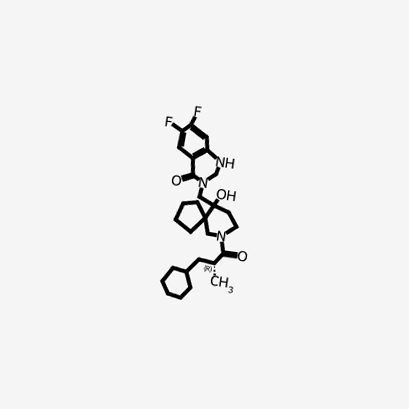 C[C@H](CC1CCCCC1)C(=O)N1CCC(O)(CN2CNc3cc(F)c(F)cc3C2=O)C2(CCCC2)C1